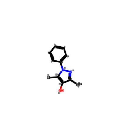 CCCCc1nn(-c2ccccc2)c(CC)c1O